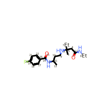 CCNC(=O)CC(C)(CC)NCCC(C)NC(=O)c1ccc(F)cc1